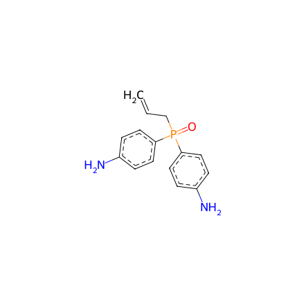 C=CCP(=O)(c1ccc(N)cc1)c1ccc(N)cc1